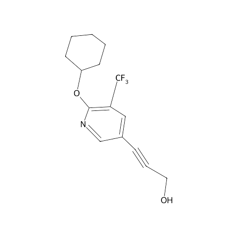 OCC#Cc1cnc(OC2CCCCC2)c(C(F)(F)F)c1